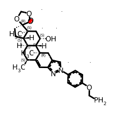 C[C@H]1C[C@@H]2[C@H]([C@@H](O)C[C@@]3(C)[C@H]2CC[C@@]32OCOC23COCO3)[C@@]2(C)Cc3cn(-c4ccc(OCP)cc4)nc3C=C12